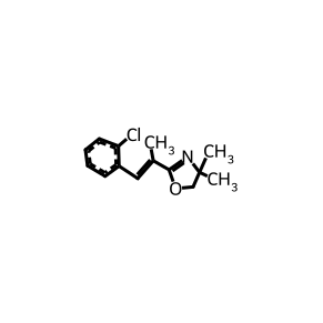 CC(=Cc1ccccc1Cl)C1=NC(C)(C)CO1